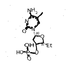 CC[C@H]1O[C@@H](n2cc(C)c(N)nc2=O)CC1OP(=O)(O)O